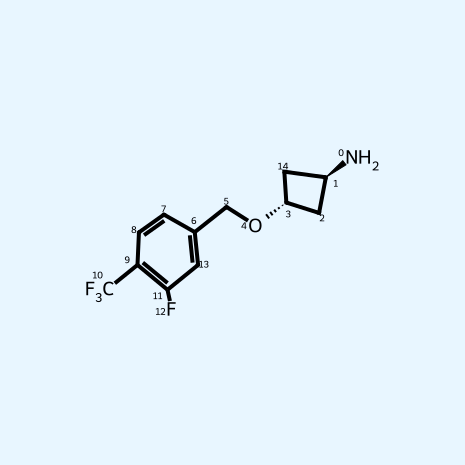 N[C@H]1C[C@H](OCc2ccc(C(F)(F)F)c(F)c2)C1